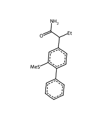 CCC(C(N)=O)c1ccc(-c2ccccc2)c(SC)c1